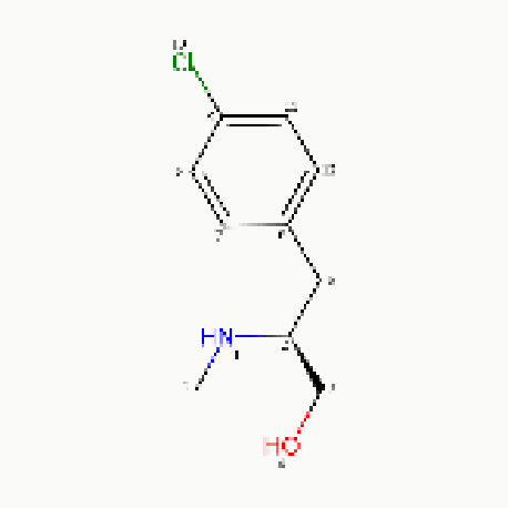 CN[C@H](CO)Cc1ccc(Cl)cc1